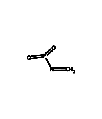 C=NP(=O)=O